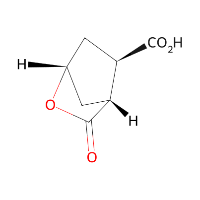 O=C(O)[C@@H]1C[C@@H]2C[C@H]1C(=O)O2